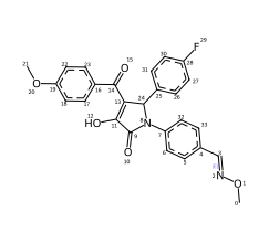 CO/N=C/c1ccc(N2C(=O)C(O)=C(C(=O)c3ccc(OC)cc3)C2c2ccc(F)cc2)cc1